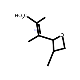 C/C(C(=O)O)=C(/C)C1OCC1C